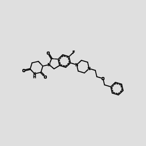 O=C1CCC(N2Cc3cc(N4CCN(CCOCc5ccccc5)CC4)c(F)cc3C2=O)C(=O)N1